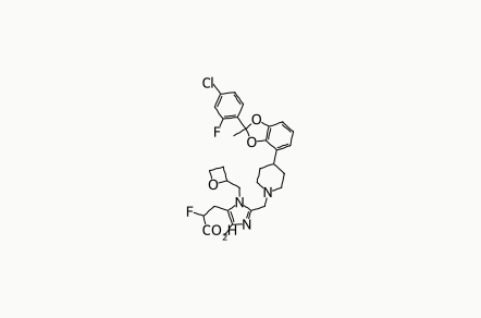 Cc1nc(CN2CCC(c3cccc4c3OC(C)(c3ccc(Cl)cc3F)O4)CC2)n(CC2CCO2)c1CC(F)C(=O)O